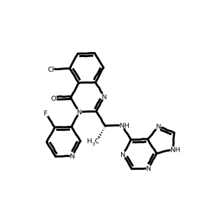 C[C@@H](Nc1ncnc2[nH]cnc12)c1nc2cccc(Cl)c2c(=O)n1-c1cnccc1F